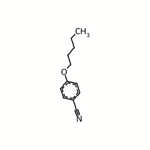 CCCCCOc1ccc(C#N)cc1